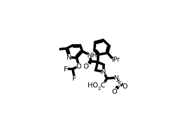 Cc1ccc(NC(=O)C2(c3ccccc3C(C)C)CN(C(N=S(=O)=O)C(=O)O)C2)c(OC(F)F)n1